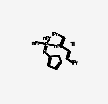 CC(C)C=CC=CC(C)C.CCCP(CCC)(CCC)=NC1=CC=CC1.[Ti]